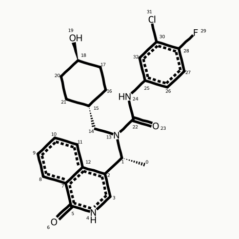 C[C@H](c1c[nH]c(=O)c2ccccc12)N(C[C@H]1CC[C@H](O)CC1)C(=O)Nc1ccc(F)c(Cl)c1